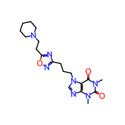 Cn1c(=O)c2c(ncn2CCCc2noc(CCN3CCCCC3)n2)n(C)c1=O